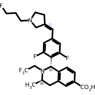 C[C@@H]1Cc2cc(C(=O)O)ccc2[C@@H](c2c(F)cc(/C=C3/CCN(CCCF)C3)cc2F)N1CC(F)(F)F